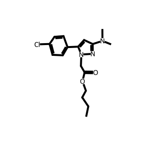 CCCCOC(=O)Cn1nc(N(C)C)cc1-c1ccc(Cl)cc1